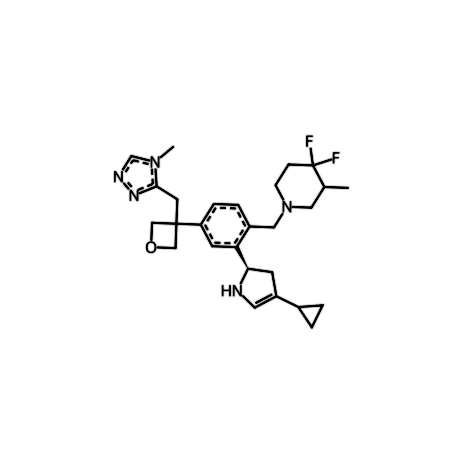 CC1CN(Cc2ccc(C3(Cc4nncn4C)COC3)cc2[C@H]2CC(C3CC3)=CN2)CCC1(F)F